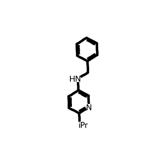 CC(C)c1ccc(NCc2ccccc2)cn1